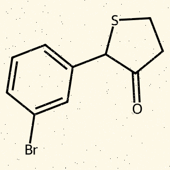 O=C1CCSC1c1cccc(Br)c1